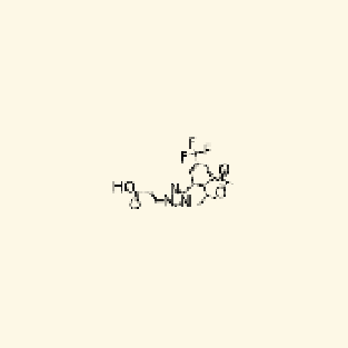 CC(C)c1c(-c2ncn(C=CC(=O)O)n2)cc(C(F)(F)F)cc1S(C)(=O)=O